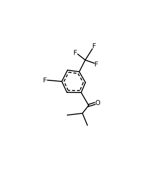 CC(C)C(=O)c1cc(F)cc(C(F)(F)F)c1